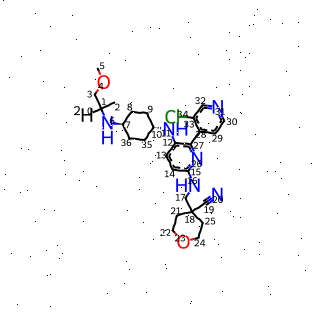 [2H]C(C)(COC)N[C@H]1CC[C@H](Nc2ccc(NCC3(C#N)CCOCC3)nc2-c2ccncc2Cl)CC1